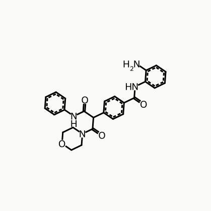 Nc1ccccc1NC(=O)c1ccc(C(C(=O)Nc2ccccc2)C(=O)N2CCOCC2)cc1